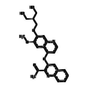 COc1cc2c(Oc3cc4ccccc4nc3C(C)=O)ccnc2cc1OCC(CO)CO